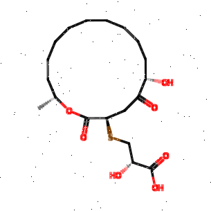 C[C@@H]1CCCCCCCCC[C@H](O)C(=O)C[C@@H](SC[C@@H](O)C(=O)O)C(=O)O1